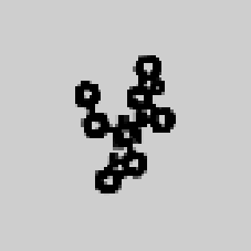 c1ccc(-c2cccc(-c3nc(-c4cccc5c4sc4ccccc45)nc(-n4c5ccccc5c5c6oc7ccccc7c6ccc54)n3)c2)cc1